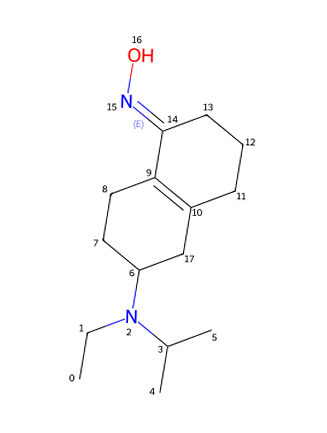 CCN(C(C)C)C1CCC2=C(CCC/C2=N\O)C1